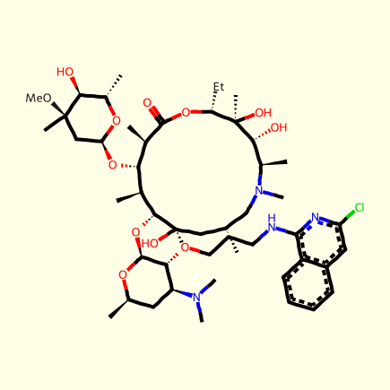 CC[C@H]1OC(=O)[C@H](C)[C@@H](O[C@H]2C[C@@](C)(OC)[C@@H](O)[C@H](C)O2)[C@H](C)[C@@H](O[C@@H]2O[C@H](C)C[C@H](N(C)C)[C@H]2OCCCNc2nc(Cl)cc3ccccc23)[C@](C)(O)C[C@@H](C)CN(C)[C@H](C)[C@@H](O)[C@]1(C)O